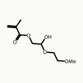 C=C(C)C(=O)OCC(O)OCCOC